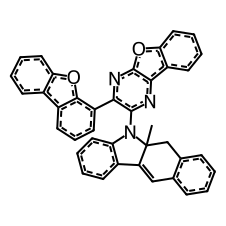 CC12Cc3ccccc3C=C1c1ccccc1N2c1nc2c(nc1-c1cccc3c1oc1ccccc13)oc1ccccc12